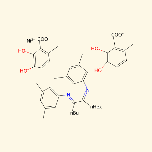 CCCCCCC(=Nc1cc(C)cc(C)c1)C(CCCC)=Nc1cc(C)cc(C)c1.Cc1ccc(O)c(O)c1C(=O)[O-].Cc1ccc(O)c(O)c1C(=O)[O-].[Ni+2]